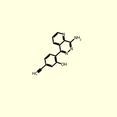 C#Cc1ccc(-c2nnc(N)c3ncccc23)c(O)c1